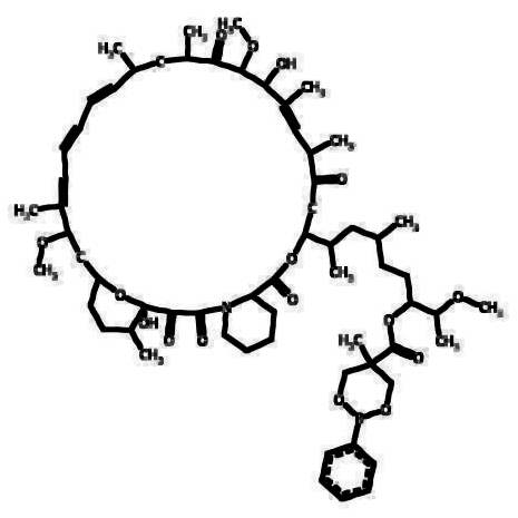 COC1CC2CCC(C)C(O)(O2)C(=O)C(=O)N2CCCCC2C(=O)OC(C(C)CC(C)CCC(OC(=O)C2(C)COB(c3ccccc3)OC2)C(C)OC)CC(=O)C(C)/C=C(\C)C(O)C(OC)C(=O)C(C)CC(C)/C=C/C=C/C=C/1C